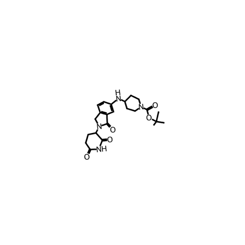 CC(C)(C)OC(=O)N1CCC(Nc2ccc3c(c2)C(=O)N(C2CCC(=O)NC2=O)C3)CC1